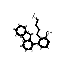 CCCCCc1c(O)cccc1-c1cccc2c1Cc1ccccc1-2